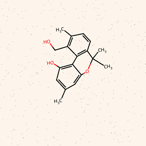 Cc1cc(O)c2c(c1)OC(C)(C)c1ccc(C)c(CO)c1-2